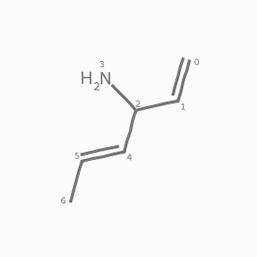 C=CC(N)/C=C/C